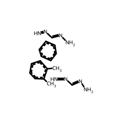 Cc1ccccc1C.N=NC=NN.N=NC=NN.c1ccccc1